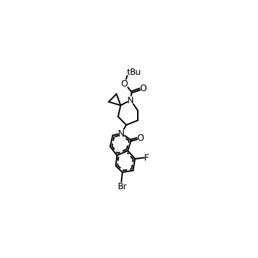 CC(C)(C)OC(=O)N1CCC(n2ccc3cc(Br)cc(F)c3c2=O)CC12CC2